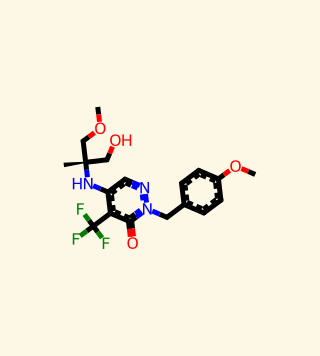 COC[C@](C)(CO)Nc1cnn(Cc2ccc(OC)cc2)c(=O)c1C(F)(F)F